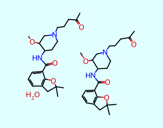 COC1CN(CCCC(C)=O)CCC1NC(=O)c1cccc2c1OC(C)(C)C2.COC1CN(CCCC(C)=O)CCC1NC(=O)c1cccc2c1OC(C)(C)C2.O